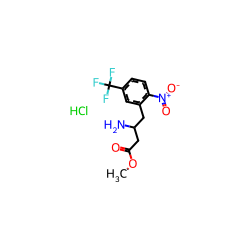 COC(=O)CC(N)Cc1cc(C(F)(F)F)ccc1[N+](=O)[O-].Cl